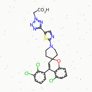 O=C(O)Cn1nnc(-c2cnc(N3CCC4(C=C(c5cccc(Cl)c5Cl)c5c(Cl)cccc5O4)CC3)s2)n1